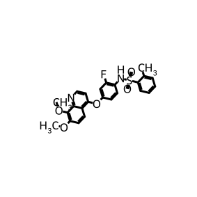 COc1ccc2c(Oc3ccc(NS(=O)(=O)c4ccccc4C)c(F)c3)ccnc2c1OC